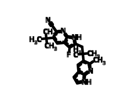 Cc1nc2[nH]ccc2cc1C(C)(C)Cc1[nH]c2nc(C#N)c(C(C)(C)C)cc2c1F